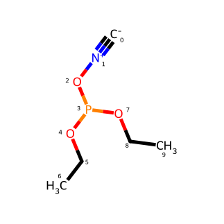 [C-]#[N+]OP(OCC)OCC